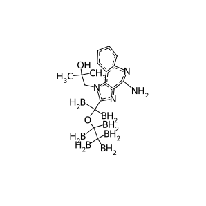 BC(B)(OC(B)(B)C(B)(B)B)c1nc2c(N)nc3ccccc3c2n1CC(C)(C)O